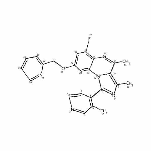 Cc1cnccc1-c1nc(C)c2c(C)nc3c(F)cc(OCc4ccccn4)cc3n12